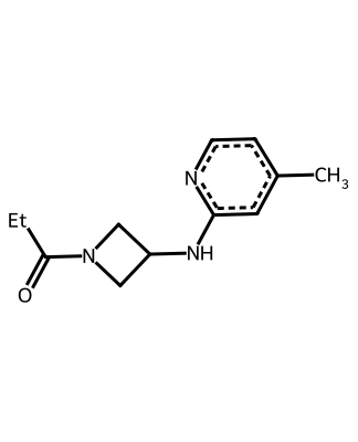 CCC(=O)N1CC(Nc2cc(C)ccn2)C1